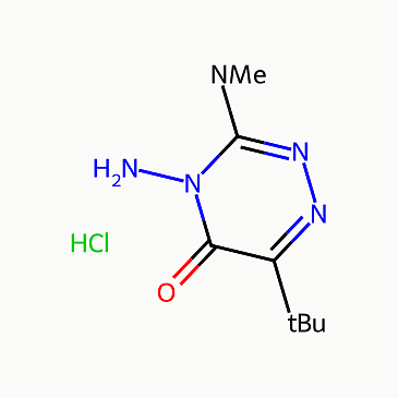 CNc1nnc(C(C)(C)C)c(=O)n1N.Cl